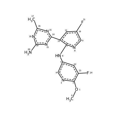 COc1ncc(Nc2ncc(F)cc2-c2nc(C)nc(N)n2)cc1F